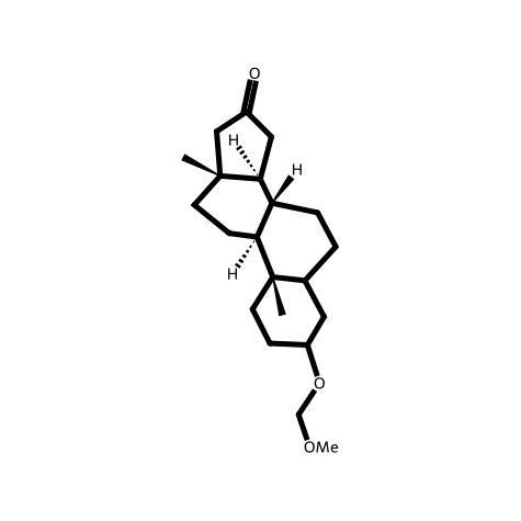 COCOC1CC[C@@]2(C)C(CC[C@H]3[C@@H]4CC(=O)C[C@@]4(C)CC[C@@H]32)C1